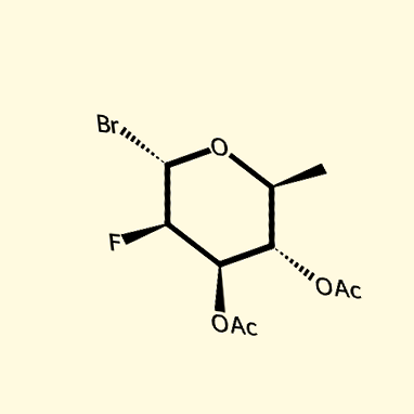 CC(=O)O[C@@H]1[C@@H](OC(C)=O)[C@@H](F)[C@H](Br)O[C@H]1C